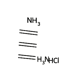 C=C.C=C.C=C.Cl.N.N